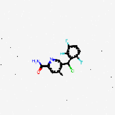 Cc1cc(C(N)=O)ncc1C(Cl)c1c(F)ccc(F)c1F